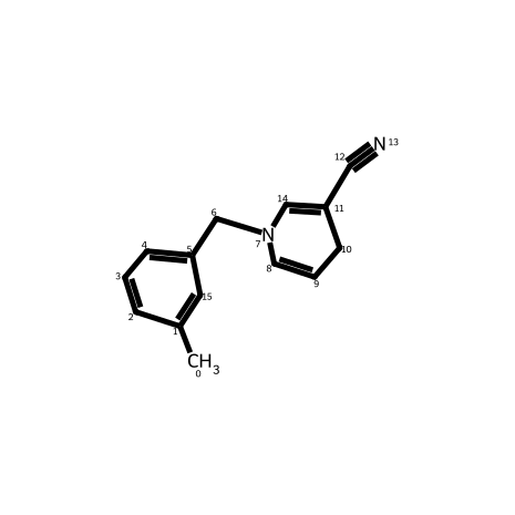 Cc1cccc(CN2C=CCC(C#N)=C2)c1